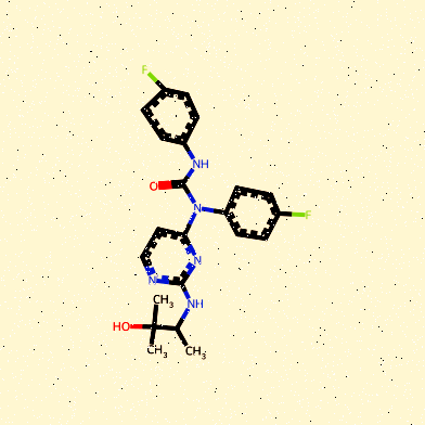 CC(Nc1nccc(N(C(=O)Nc2ccc(F)cc2)c2ccc(F)cc2)n1)C(C)(C)O